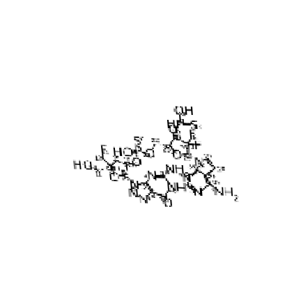 Nc1nc2c(nnn2[C@@H]2O[C@@](CO)(CF)C[C@H]2OP(O)(=S)OC[C@H]2O[C@@H](n3ccc4c(N)ncnc43)C(F)(F)[C@@H]2O[PH](O)=S)c(=O)[nH]1